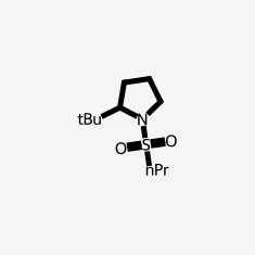 CCCS(=O)(=O)N1CCCC1C(C)(C)C